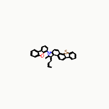 C=c1/c(=C\C=C/C)c2c3ccc4c5ccccc5sc4c3ccc2n1-c1cccc2c1oc1ccccc12